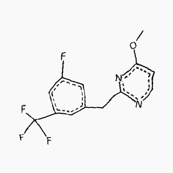 COc1ccnc(Cc2cc(F)cc(C(F)(F)F)c2)n1